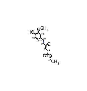 CCOC(=O)CCC(=O)/C=C/c1ccc(O)c(OC)c1